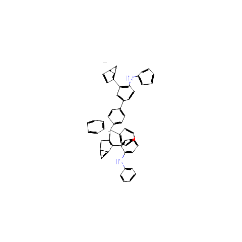 C1=C[C@H]2CC2=C1c1cc(-c2ccc([Si](C3=C(c4ccccc4Nc4ccccc4)C4=CC4C3)(c3ccccc3)c3ccccc3)cc2)ccc1Nc1ccccc1